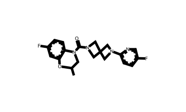 CC1CN(C(=O)N2CC3(C2)CN(c2ccc(F)cn2)C3)c2ccc(F)cc2O1